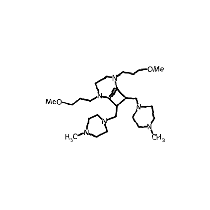 COCCCN1CCN(CCCOC)C2=C1C(CN1CCN(C)CC1)C2CN1CCN(C)CC1